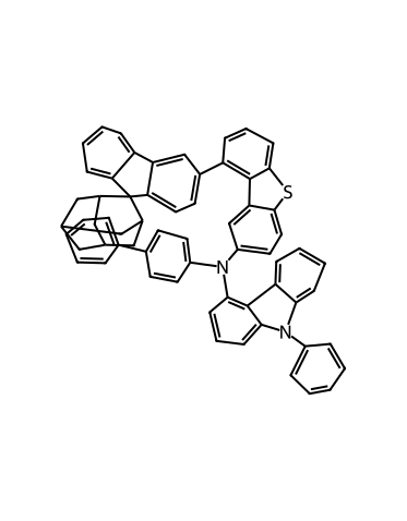 c1ccc(-c2ccc(N(c3ccc4sc5cccc(-c6ccc7c(c6)-c6ccccc6C76C7CC8CC(C7)CC6C8)c5c4c3)c3cccc4c3c3ccccc3n4-c3ccccc3)cc2)cc1